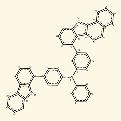 c1ccc(N(c2ccc(-c3cccc4c3oc3ccccc34)cc2)c2cccc(-c3cccc4oc5c6ccccc6ccc5c34)c2)cc1